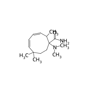 CC1/C=C\C=C/C(C)(C)CCC1(C(N)=O)N(C)C